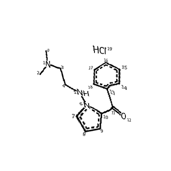 CN(C)CCNn1cccc1C(=O)c1ccccc1.Cl